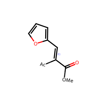 COC(=O)/C(=C/c1ccco1)C(C)=O